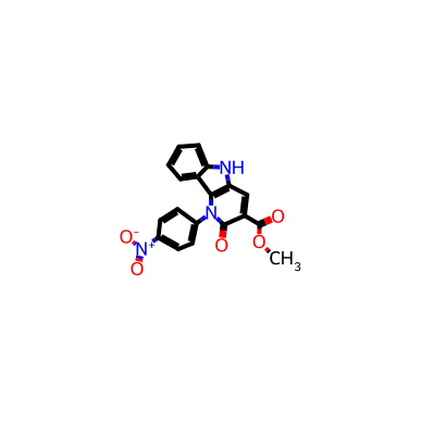 COC(=O)c1cc2[nH]c3ccccc3c2n(-c2ccc([N+](=O)[O-])cc2)c1=O